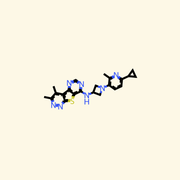 Cc1nc(C2CC2)ccc1N1CC(Nc2ncnc3c2sc2nnc(C)c(C)c23)C1